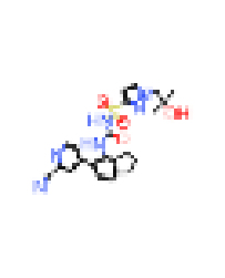 CC(C)(O)Cn1ccc(S(=O)(=O)NC(=O)Nc2c(-c3ccnc(C#N)c3)ccc3c2CCC3)n1